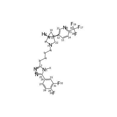 Cn1c(CCCCN2C[C@@H]3C[C@]3(c3ccc(C(F)(F)F)nc3)C2)nnc1-c1ccc(F)c(F)c1